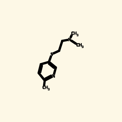 Cc1ccc(SCCN(C)C)cn1